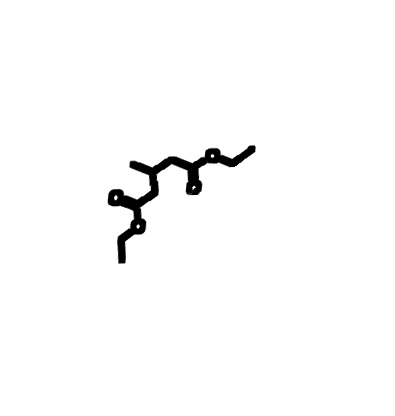 CCOC(=O)CC(C)CC(=O)OCC